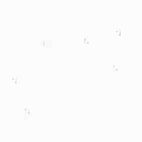 Cl.c1ncnc(-c2ccc3[nH]cnc3c2)n1